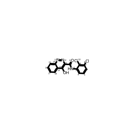 O=C(Nc1cccc(Cl)c1Cl)c1nnc2ccccc2c1O